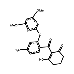 COc1cc(OC)nc(Oc2cc(C)ccc2C(=O)C2=C(O)CCCC2=O)n1